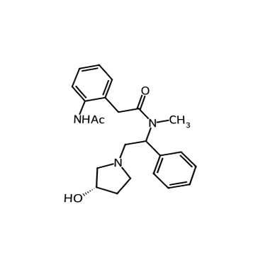 CC(=O)Nc1ccccc1CC(=O)N(C)C(CN1CC[C@H](O)C1)c1ccccc1